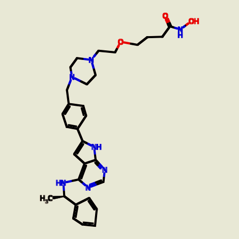 C[C@@H](Nc1ncnc2[nH]c(-c3ccc(CN4CCN(CCOCCCC(=O)NO)CC4)cc3)cc12)c1ccccc1